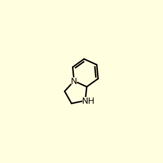 C1=CC2NCCN2C=C1